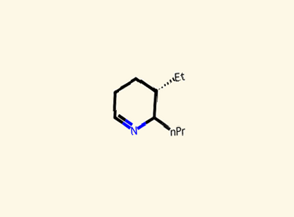 CCCC1N=CCC[C@@H]1CC